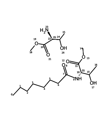 CCCCCCCC(=O)N[C@H](C(=O)OC)C(C)O.COC(=O)[C@@H](N)C(C)O